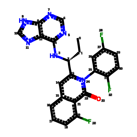 CC[C@@H](Nc1ncnc2[nH]cnc12)c1cc2cccc(F)c2c(=O)n1-c1cc(F)ccc1F